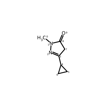 CN1N=C(C2CC2)CC1=O